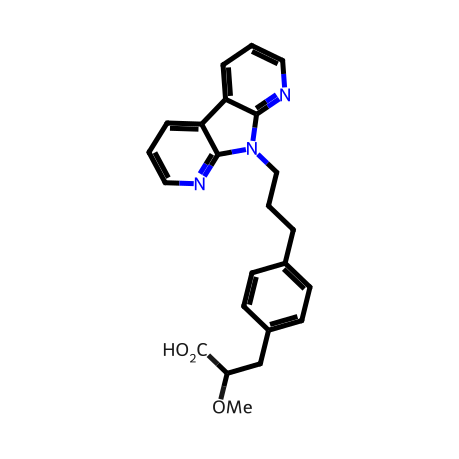 COC(Cc1ccc(CCCn2c3ncccc3c3cccnc32)cc1)C(=O)O